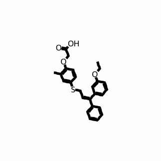 CCOc1cccc(/C(=C\CSc2ccc(OCC(=O)O)c(C)c2)c2ccccc2)c1